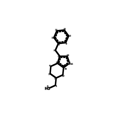 OCC1CCc2c(Cc3ccccc3)csc2C1